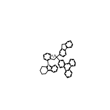 NC(Cc1ccccc1-n1c2c(c3ccccc31)CCCC2)(c1ccc2c(c1)Cc1ccccc1-2)c1ccc2c3ccccc3c3ccccc3c2c1